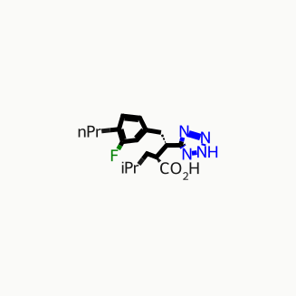 CCCc1ccc(C[C@H](c2nn[nH]n2)[C@H](CC(C)C)C(=O)O)cc1F